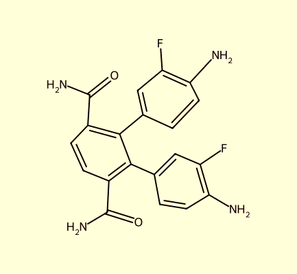 NC(=O)c1ccc(C(N)=O)c(-c2ccc(N)c(F)c2)c1-c1ccc(N)c(F)c1